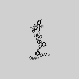 COc1ccc(CCO[C@@H]2CCCC[C@H]2N2CC[C@@H](OC(=O)NCCCCNc3cc(C)ccc3C3=NNC(=O)CC3)C2)cc1OC